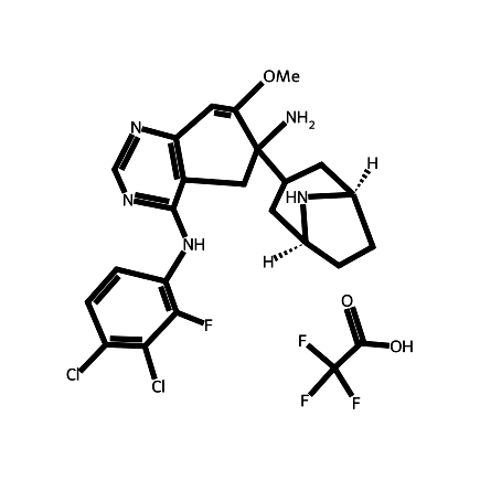 COC1=Cc2ncnc(Nc3ccc(Cl)c(Cl)c3F)c2CC1(N)C1C[C@H]2CC[C@@H](C1)N2.O=C(O)C(F)(F)F